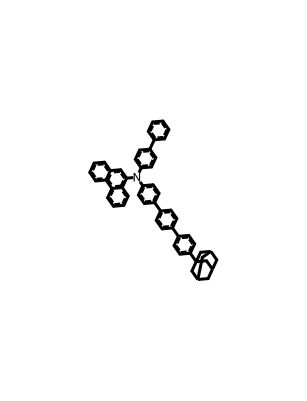 c1ccc(-c2ccc(N(c3ccc(-c4ccc(-c5ccc(C67CC8CC(CC(C8)C6)C7)cc5)cc4)cc3)c3cc4ccccc4c4ccccc34)cc2)cc1